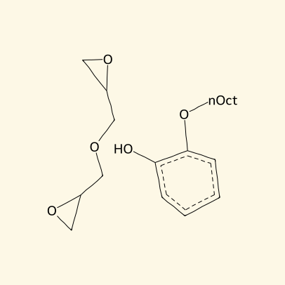 C(OCC1CO1)C1CO1.CCCCCCCCOc1ccccc1O